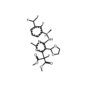 COC(=O)C(F)(C(=O)OC)c1nc(C)nc(N[C@H](C)c2cccc(C(F)F)c2F)c1C1OCCO1